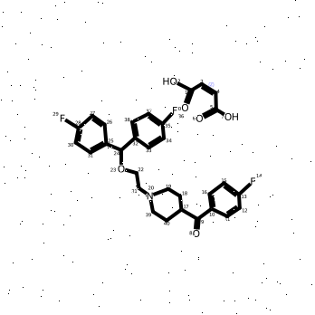 O=C(O)/C=C\C(=O)O.O=C(c1ccc(F)cc1)C1CCN(CCOC(c2ccc(F)cc2)c2ccc(F)cc2)CC1